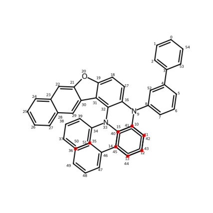 c1ccc(-c2cccc(N(c3ccccc3)c3ccc4oc5cc6ccccc6cc5c4c3N(c3ccccc3)c3ccccc3-c3ccccc3)c2)cc1